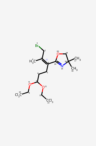 C/C(CBr)=C(\CCC(OCC(Cl)(Cl)Cl)OCC(Cl)(Cl)Cl)C1=NC(C)(C)CO1